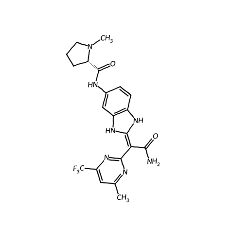 Cc1cc(C(F)(F)F)nc(/C(C(N)=O)=C2/Nc3ccc(NC(=O)[C@@H]4CCCN4C)cc3N2)n1